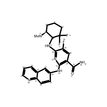 CN[C@H]1CCCC(F)(F)C1Nc1nc(Nc2ccc3ncccc3c2)c(C(N)=O)cc1F